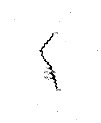 CCCCCCCCCCCCCCCCCCC(C)CCCCCCCCCC(=O)NC(O)C[C@H](O)CCCCCCCCCCCCCCC